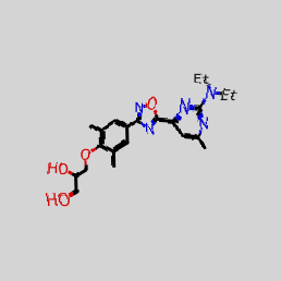 CCN(CC)c1nc(C)cc(-c2nc(-c3cc(C)c(OCC(O)CO)c(C)c3)no2)n1